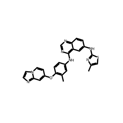 Cc1csc(Nc2ccc3ncnc(Nc4ccc(Oc5ccn6ccnc6c5)c(C)c4)c3c2)n1